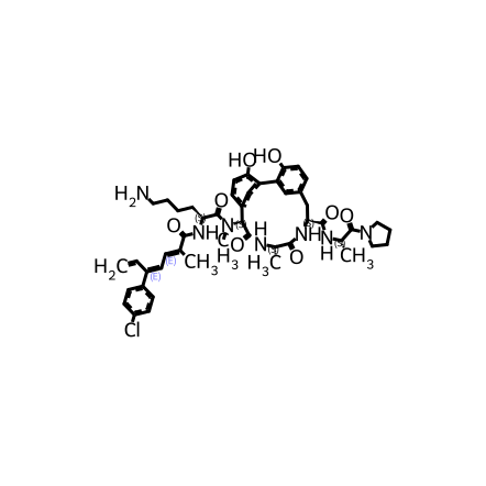 C=C/C(=C\C=C(/C)C(=O)N[C@@H](CCCCN)C(=O)N(C)[C@@H]1C(=O)N[C@@H](C)C(=O)N[C@H](C(=O)N[C@@H](C)C(=O)N2CCCC2)Cc2ccc(O)c(c2)-c2cc1ccc2O)c1ccc(Cl)cc1